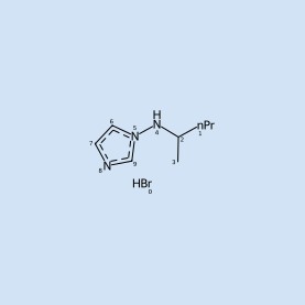 Br.CCCC(C)Nn1ccnc1